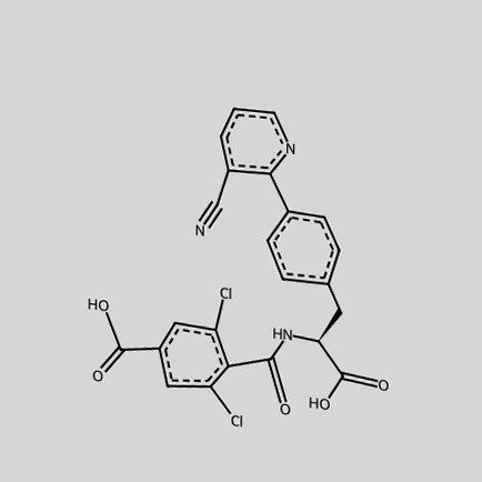 N#Cc1cccnc1-c1ccc(C[C@H](NC(=O)c2c(Cl)cc(C(=O)O)cc2Cl)C(=O)O)cc1